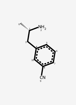 C[C@H](N)Cc1cccc(C#N)c1